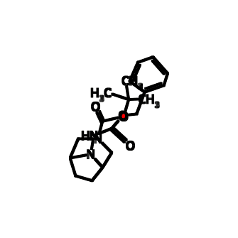 CC(C)(C)OC(=O)N1CC2CCC(C1)N2NC(=O)OCc1ccccc1